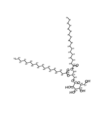 CCCCCCCCCCCCCCCCCC(=O)OCC(COC1OC(CO)C(O)C(O)C1O)OC(=O)CCCCCCCCCCCCCCCCC